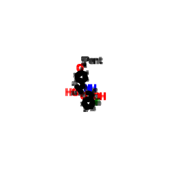 CCCC(C)COc1ccc([C@@H](NC(=O)[C@@](C)(O)c2ccccc2F)C(C)(C)O)cc1